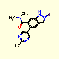 Cc1ncc(-c2cc3c(cc2C(=O)N(C)C)NN(I)C3)cn1